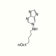 CCCCCCCCCCCCNn1cnc2ncnc-2c1